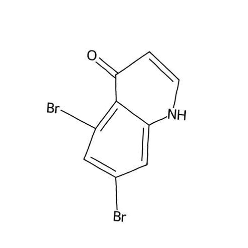 O=c1cc[nH]c2cc(Br)cc(Br)c12